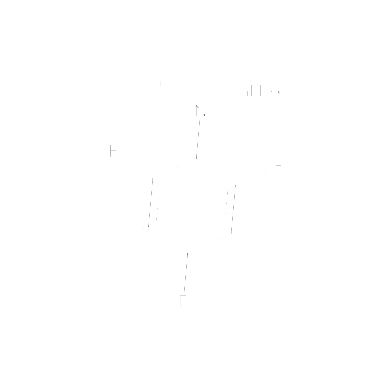 CCCCCCN(CC)c1c(F)c(F)c(F)c(F)c1F